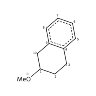 COC1C[CH]c2ccccc2C1